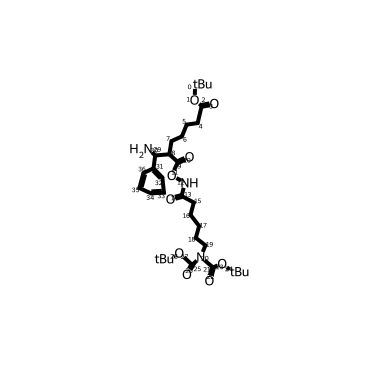 CC(C)(C)OC(=O)CCCCC(C(=O)ONC(=O)CCCCCN(C(=O)OC(C)(C)C)C(=O)OC(C)(C)C)C(N)c1ccccc1